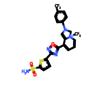 NS(=O)(=O)c1ccc(-c2noc(C3=CC=C[N+]4(C(F)(F)F)CN(c5ccc(C(F)(F)F)cc5)C=C34)n2)s1